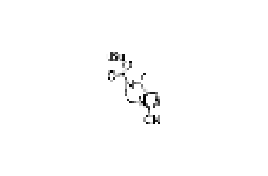 CC1c2ccc(C#N)n2CCN1C(=O)OC(C)(C)C